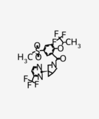 CCS(=O)(=O)c1ccc(O[C@H](C)C(F)(F)F)c(C(=O)N2CC3C[C@]3(c3nccc(C(F)(F)F)n3)C2)c1